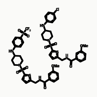 COc1cccc(C(=O)NCc2ccc(S(=O)(=O)N3CCC(Nc4ccc(Cl)cc4)CC3)s2)c1.COc1cccc(C(=O)NCc2ccc(S(=O)(=O)N3CCC(Nc4ccc(S(=O)(=O)C(F)(F)F)cc4)CC3)s2)c1